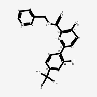 O=C(OCc1cccnc1)c1nc(-c2ccc(C(F)(F)F)cc2Cl)ccc1Cl